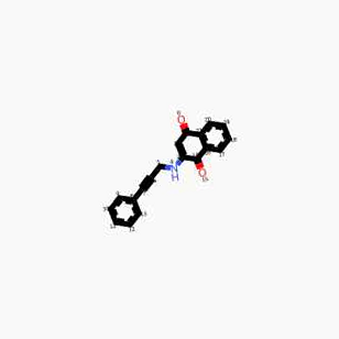 O=C1C=C(NCC#Cc2ccccc2)C(=O)c2ccccc21